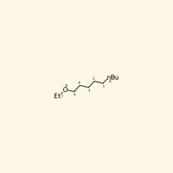 CCCCCCCC[CH]OCC